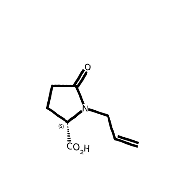 C=CCN1C(=O)CC[C@H]1C(=O)O